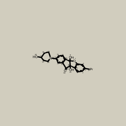 CC(C)c1ccc2c(c1)OC1(O)c3ccc(N4CCC(O)CC4)cc3C(=O)C21O